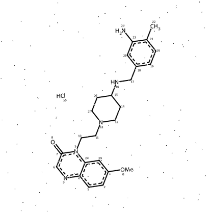 COc1ccc2ncc(=O)n(CCN3CCC(NCc4ccc(C)c(N)c4)CC3)c2c1.Cl